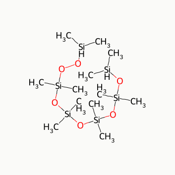 C[SiH](C)OO[Si](C)(C)O[Si](C)(C)O[Si](C)(C)O[Si](C)(C)O[SiH](C)C